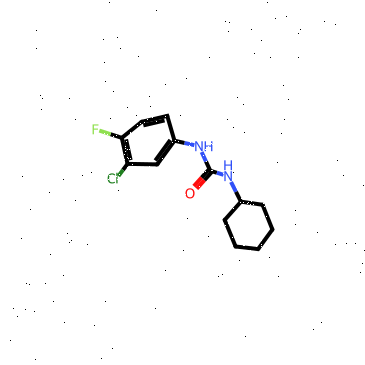 O=C(Nc1ccc(F)c(Cl)c1)NC1CCCCC1